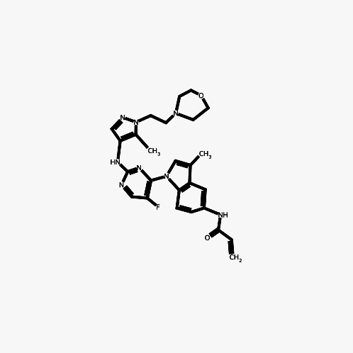 C=CC(=O)Nc1ccc2c(c1)c(C)cn2-c1nc(Nc2cnn(CCN3CCOCC3)c2C)ncc1F